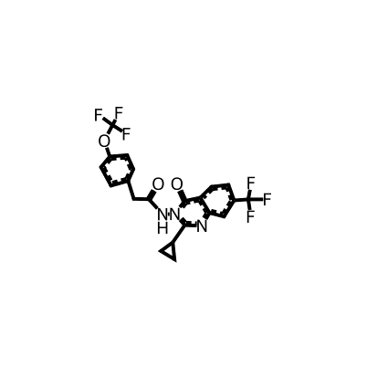 O=C(Cc1ccc(OC(F)(F)F)cc1)Nn1c(C2CC2)nc2cc(C(F)(F)F)ccc2c1=O